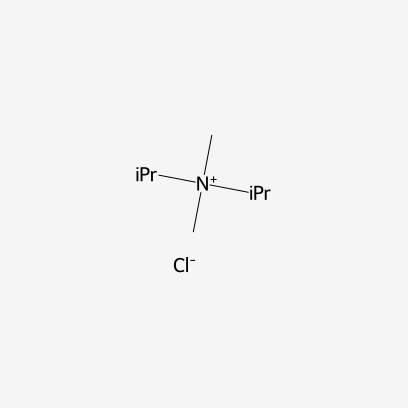 CC(C)[N+](C)(C)C(C)C.[Cl-]